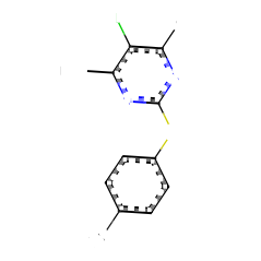 Cc1nc(Sc2ccc([N+](=O)[O-])cc2)nc(C)c1Cl